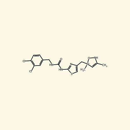 CC1=C[N+](C)(Cc2csc(NC(=O)NCc3ccc(Cl)c(Cl)c3)n2)ON1